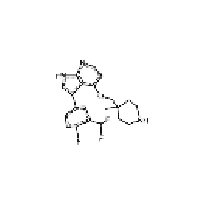 CC1(COc2ccnc3[nH]cc(-c4ccc(F)c(C(F)F)c4)c23)CCNCC1